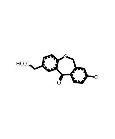 O=C(O)Cc1ccc2c(c1)C(=O)c1ccc(Cl)cc1CS2